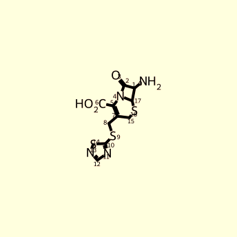 NC1C(=O)N2C(C(=O)O)=C(CSc3ncns3)CSC12